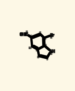 O=Cc1cc(Br)c2[nH]ccc2c1